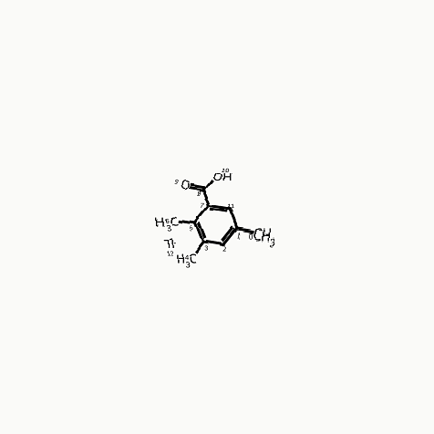 Cc1cc(C)c(C)c(C(=O)O)c1.[Tl]